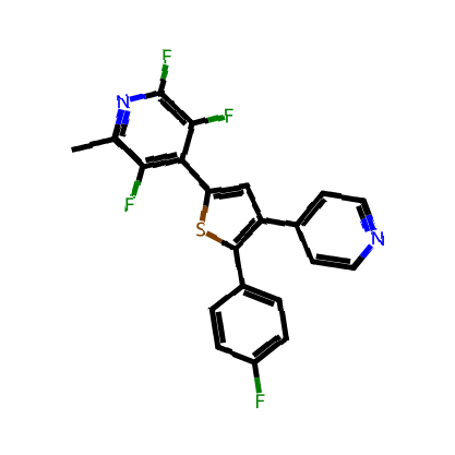 Cc1nc(F)c(F)c(-c2cc(-c3ccncc3)c(-c3ccc(F)cc3)s2)c1F